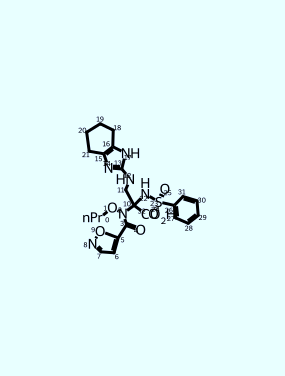 CCCON(C(=O)c1ccno1)C(CNc1nc2c([nH]1)CCCC2)(NS(=O)(=O)c1ccccc1)C(=O)O